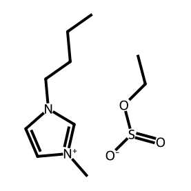 CCCCn1cc[n+](C)c1.CCOS(=O)[O-]